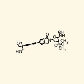 C[C@@](CCN1Cc2cc(C#CC#CC3(CO)COC3)cn2C1=O)(C(=O)NO)S(C)(=O)=O